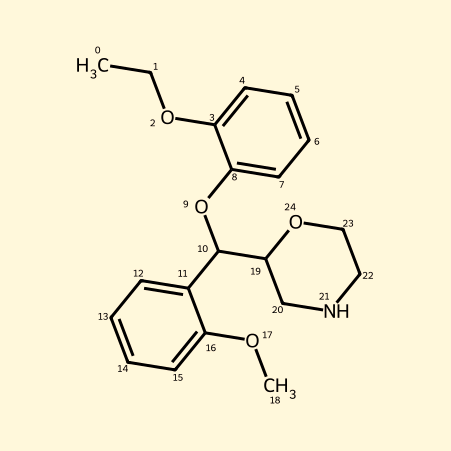 CCOc1ccccc1OC(c1ccccc1OC)C1CNCCO1